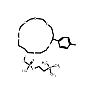 C[N+](C)(C)CCOP(=O)(O)OI.Ic1ccc(C2CCCCCCCCCCCCCCCCC2)cc1